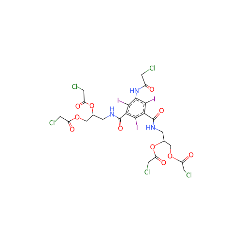 O=C(CCl)Nc1c(I)c(C(=O)NCC(COC(=O)CCl)OC(=O)CCl)c(I)c(C(=O)NCC(COC(=O)CCl)OC(=O)CCl)c1I